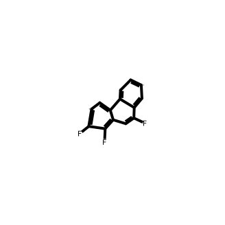 Fc1[c]cc2c(cc(F)c3c[c]ccc32)c1F